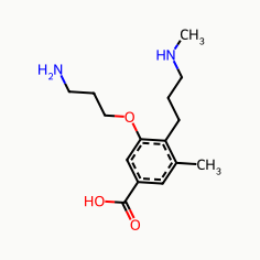 CNCCCc1c(C)cc(C(=O)O)cc1OCCCN